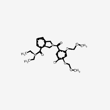 CCN(CC)C(=O)c1cccc2c1CN(C(=O)c1cc(Cl)c(OCOC)cc1OCOC)C2